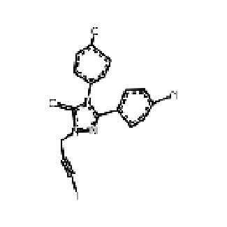 O=c1n(CC#CI)nc(-c2ccc(Cl)cc2)n1-c1ccc(Cl)cc1